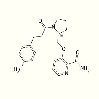 Cc1ccc(CCC(=O)N2CCC[C@@H]2COc2cccnc2C(N)=O)cc1